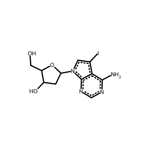 Nc1ncnc2c1c(I)cn2C1CC(O)C(CO)O1